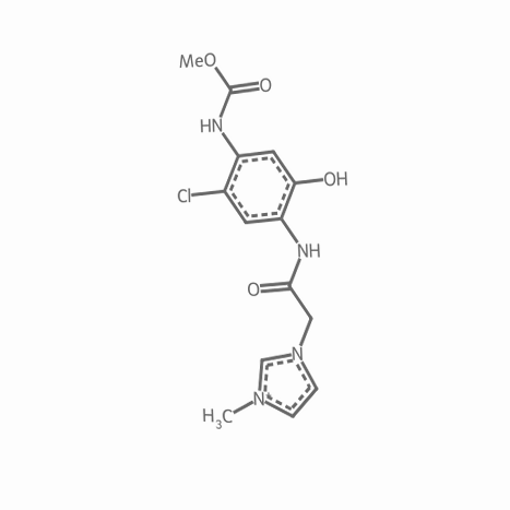 COC(=O)Nc1cc(O)c(NC(=O)Cn2cc[n+](C)c2)cc1Cl